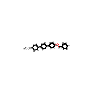 CCCCCCCCC1CC=C(c2ccc(-c3ccc(OCc4ccccc4)cc3)cc2)CC1